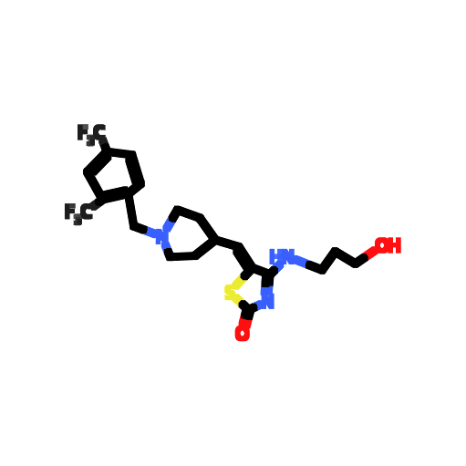 O=C1N=C(NCCCO)C(=CC2CCN(Cc3ccc(C(F)(F)F)cc3C(F)(F)F)CC2)S1